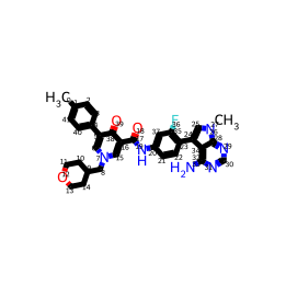 Cc1ccc(-c2cn(CC3CCOCC3)cc(C(=O)Nc3ccc(-c4cn(C)c5ncnc(N)c45)c(F)c3)c2=O)cc1